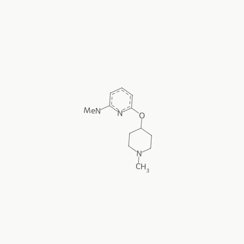 CNc1cccc(OC2CCN(C)CC2)n1